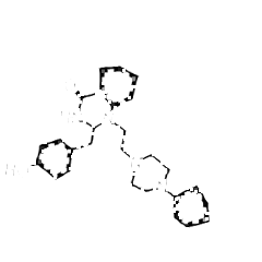 O=C1NC(Cc2ccc(O)cc2)N(CCN2CCN(c3ccccc3)CC2)c2ccccc21